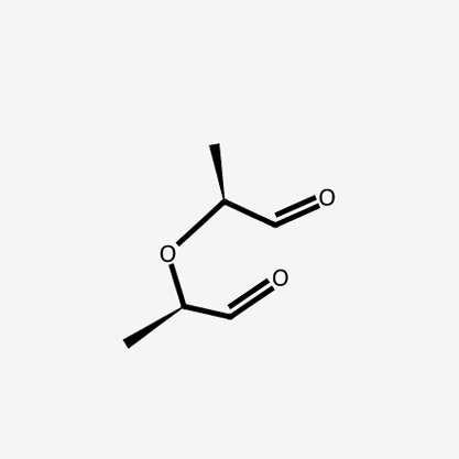 C[C@H](C=O)O[C@@H](C)C=O